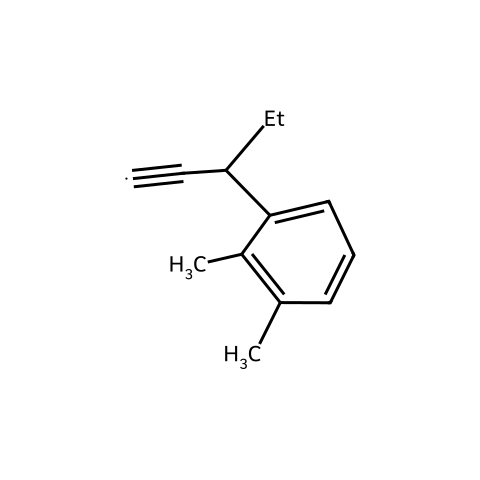 [C]#CC(CC)c1cccc(C)c1C